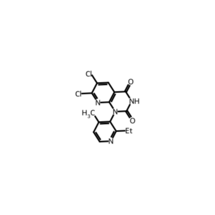 CCc1nccc(C)c1-n1c(=O)[nH]c(=O)c2cc(Cl)c(Cl)nc21